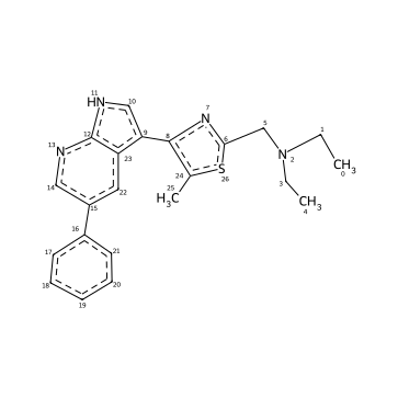 CCN(CC)Cc1nc(-c2c[nH]c3ncc(-c4ccccc4)cc23)c(C)s1